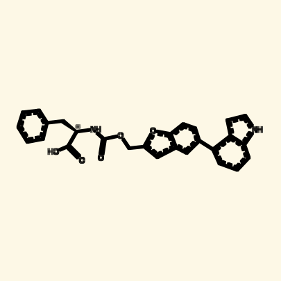 O=C(N[C@H](Cc1ccccc1)C(=O)O)OCc1cc2cc(-c3cccc4[nH]ccc34)ccc2o1